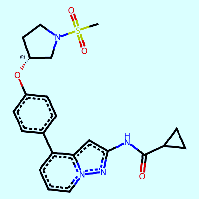 CS(=O)(=O)N1CC[C@@H](Oc2ccc(-c3cccn4nc(NC(=O)C5CC5)cc34)cc2)C1